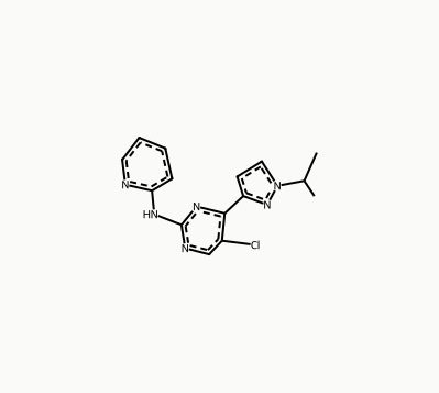 CC(C)n1ccc(-c2nc(Nc3ccccn3)ncc2Cl)n1